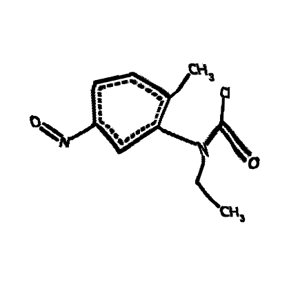 CCN(C(=O)Cl)c1cc(N=O)ccc1C